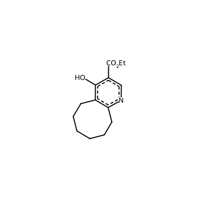 CCOC(=O)c1cnc2c(c1O)CCCCCC2